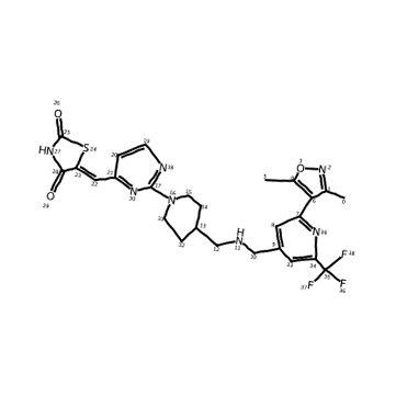 Cc1noc(C)c1-c1cc(CNCC2CCN(c3nccc(/C=C4\SC(=O)NC4=O)n3)CC2)cc(C(F)(F)F)n1